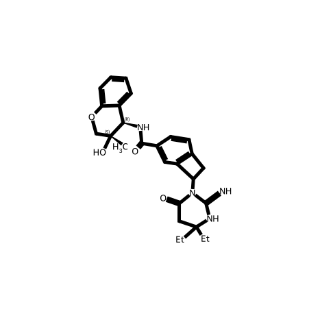 CCC1(CC)CC(=O)N(C2Cc3ccc(C(=O)N[C@@H]4c5ccccc5OC[C@@]4(C)O)cc32)C(=N)N1